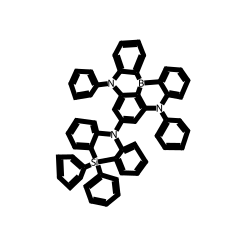 c1ccc(N2c3ccccc3B3c4ccccc4N(c4ccccc4)c4cc(N5c6ccccc6[Si](c6ccccc6)(c6ccccc6)c6ccccc65)cc2c43)cc1